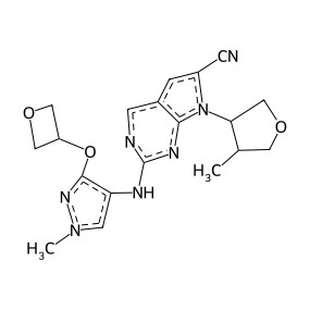 CC1COCC1n1c(C#N)cc2cnc(Nc3cn(C)nc3OC3COC3)nc21